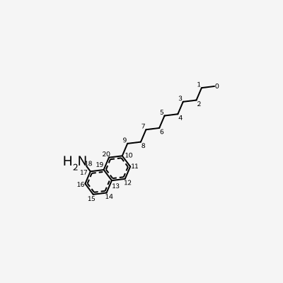 CCCCCCCCCCc1ccc2cccc(N)c2c1